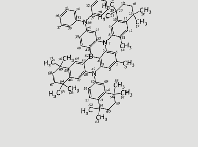 Cc1cc2c3c(c1)N(c1cc4c(cc1C)C(C)(C)CCC4(C)C)c1cc(N(c4ccccc4)c4ccccc4)ccc1B3c1cc3c(cc1N2c1ccc2c(c1)C(C)(C)CCC2(C)C)C(C)(C)CCC3(C)C